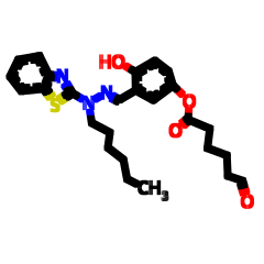 CCCCCCN(/N=C/c1cc(OC(=O)CCCCC=O)ccc1O)c1nc2ccccc2s1